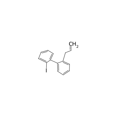 C=CCc1ccccc1-c1ccccc1I